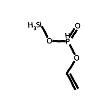 C=CO[PH](=O)O[SiH3]